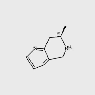 C[C@@H]1Cc2ncccc2CN1